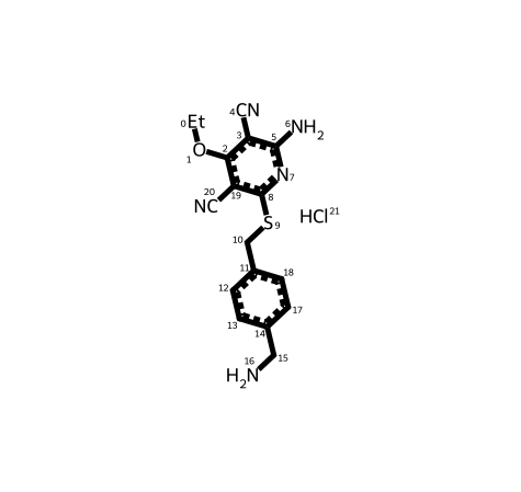 CCOc1c(C#N)c(N)nc(SCc2ccc(CN)cc2)c1C#N.Cl